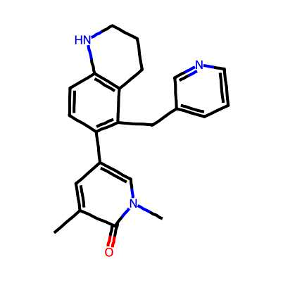 Cc1cc(-c2ccc3c(c2Cc2cccnc2)CCCN3)cn(C)c1=O